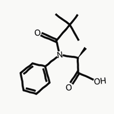 C[C@@H](C(=O)O)N(C(=O)C(C)(C)C)c1ccccc1